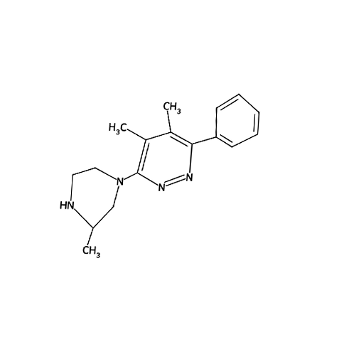 Cc1c(-c2ccccc2)nnc(N2CCNC(C)C2)c1C